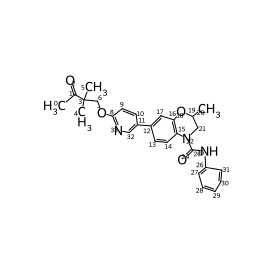 CC(=O)C(C)(C)COc1ccc(-c2ccc3c(c2)OC(C)CN3C(=O)Nc2ccccc2)cn1